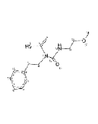 C=C(S)N(CCc1ccccc1)C(=O)NCCOC